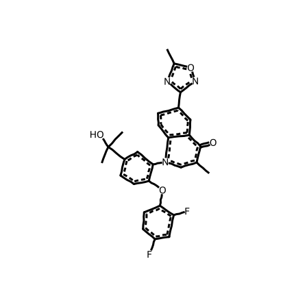 Cc1nc(-c2ccc3c(c2)c(=O)c(C)cn3-c2cc(C(C)(C)O)ccc2Oc2ccc(F)cc2F)no1